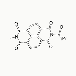 CC(C)C(=O)N1C(=O)c2ccc3c4c(ccc(c24)C1=O)C(=O)N(C)C3=O